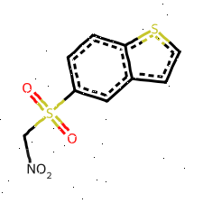 O=[N+]([O-])CS(=O)(=O)c1ccc2sccc2c1